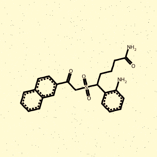 NC(=O)CCCC(c1ccccc1N)S(=O)(=O)CC(=O)c1ccc2ccccc2c1